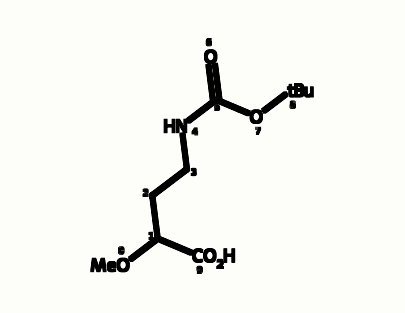 COC(CCNC(=O)OC(C)(C)C)C(=O)O